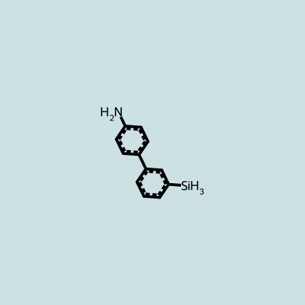 Nc1ccc(-c2cccc([SiH3])c2)cc1